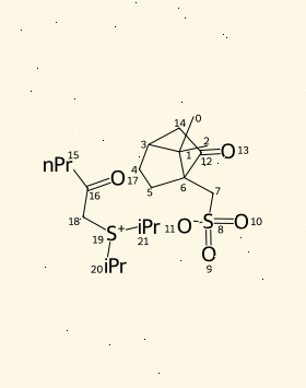 CC1(C)C2CCC1(CS(=O)(=O)[O-])C(=O)C2.CCCC(=O)C[S+](C(C)C)C(C)C